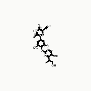 CC(CO)c1nc(Oc2c(Cl)cc(-n3nc(C#N)c(=O)[nH]c3=O)cc2Cl)ncc1O